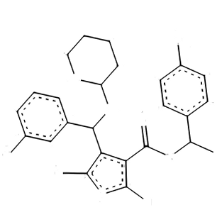 CC(NC(=O)c1c(Cl)sc(Cl)c1C(OC1CCCCO1)c1cccc(Cl)c1)c1ccc(C(=O)O)cc1